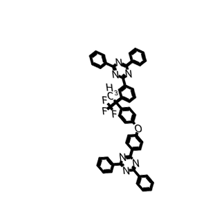 CC(c1ccc(Oc2ccc(-c3nc(-c4ccccc4)nc(-c4ccccc4)n3)cc2)cc1)(c1cccc(-c2nc(-c3ccccc3)nc(-c3ccccc3)n2)c1)C(F)(F)F